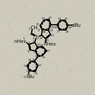 C[CH]=[Zr]([CH]1C(CCCCCC)=Cc2c(-c3ccc(C(C)(C)C)cc3)cccc21)[CH]1C(CCCCCC)=Cc2c(-c3ccc(C(C)(C)C)cc3)cccc21